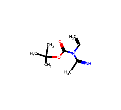 C=CN(C(C)=N)C(=O)OC(C)(C)C